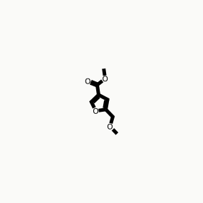 COCc1cc(C(=O)OC)co1